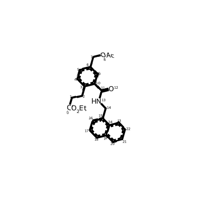 CCOC(=O)CCc1ccc(COC(C)=O)cc1C(=O)NCc1cccc2ccccc12